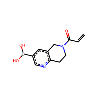 C=CC(=O)N1CCc2ncc(B(O)O)cc2C1